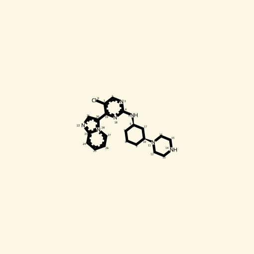 Clc1cnc(N[C@@H]2CCC[C@H](N3CCNCC3)C2)nc1-c1cnc2ccccn12